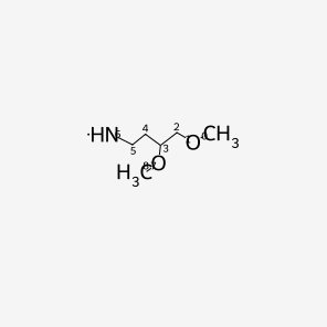 COCC(CC[NH])OC